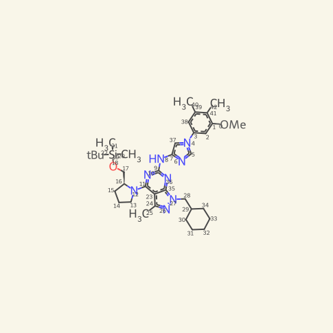 COc1cc(-n2cnc(Nc3nc(N4CCC[C@H]4CO[Si](C)(C)C(C)(C)C)c4c(C)nn(CC5CCCCC5)c4n3)c2)cc(C)c1C